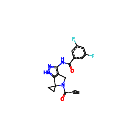 CC(C)(C)C(=O)N1Cc2c(NC(=O)c3cc(F)cc(F)c3)n[nH]c2C12CC2